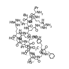 CC[C@H](C)[C@H](NC(=O)[C@H](CCCNC(=N)N)NC(=O)[C@@H](N)CC(C)C)C(=O)N[C@H](C(=O)N[C@@H](CCC(N)=O)C(=O)N[C@@H](CS)C(=O)NC(CCCNC(=N)N)C(=O)N[C@@H](CO)C(=O)N[C@H](C(=O)N[C@@H](CCC(=O)O)C(=O)NCC(=O)N[C@@H](CO)C(=O)N[C@@H](CS)C(=O)NCC(=O)N[C@@H](Cc1ccccc1)C(=O)N[C@@H](Cc1ccc(O)cc1)C(=O)O)C(C)C)C(C)C